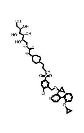 O=C(NC[C@H](O)[C@@H](O)[C@H](O)[C@H](O)CO)NC1CCC(CCNS(=O)(=O)c2ccc(Cl)c(COC3(c4cnccc4-c4ccccc4OC4CC4)CC3)c2)CC1